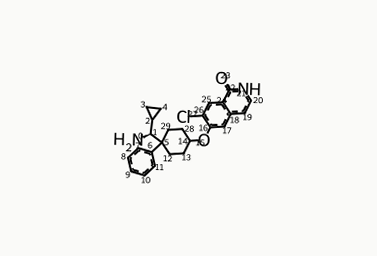 N[C@@H](C1CC1)C1(c2ccccc2)CCC(Oc2cc3cc[nH]c(=O)c3cc2Cl)CC1